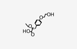 CCO[C@H](Cc1ccc(OCCO)cc1)C(=O)O